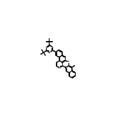 Cc1c2c(cc3ccccc13)-c1nccc3c1c(cc1ccc(-c4nc(C(C)(C)C)nc(C(C)(C)C)n4)cc13)O2